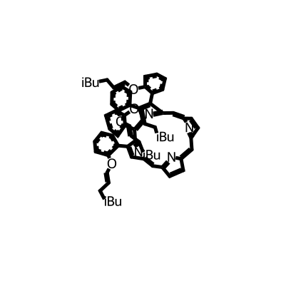 CCC(C)CC=COc1ccccc1C1=CC2=CC3=NC(=CC4=NC(=CC5=NC(=C(c6ccccc6OC=CCC(C)CC)C1=N2)C(c1ccccc1OC=CCC(C)CC)=C5c1ccccc1OC=CCC(C)CC)C=C4)C=C3